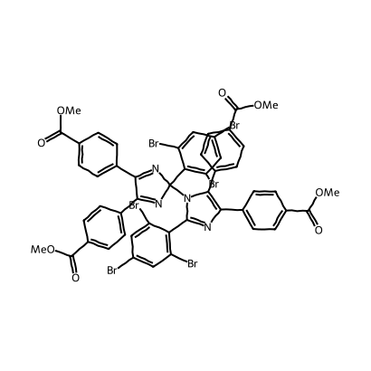 COC(=O)c1ccc(C2=NC(c3c(Br)cc(Br)cc3Br)(n3c(-c4c(Br)cc(Br)cc4Br)nc(-c4ccc(C(=O)OC)cc4)c3-c3ccc(C(=O)OC)cc3)N=C2c2ccc(C(=O)OC)cc2)cc1